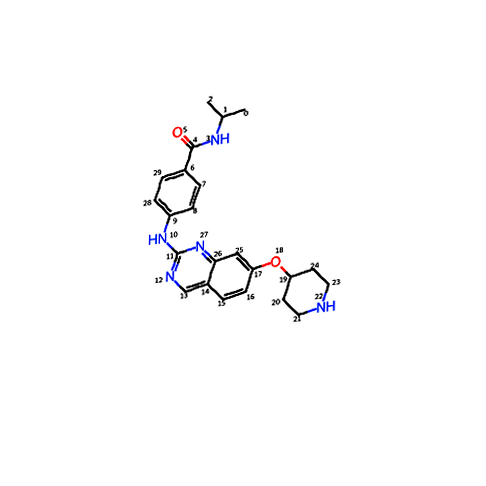 CC(C)NC(=O)c1ccc(Nc2ncc3ccc(OC4CCNCC4)cc3n2)cc1